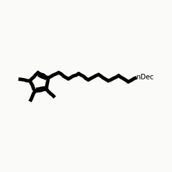 CCCCCCCCCCCCCCCCCCC1=[C]C(C)C(C)=C1C